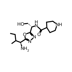 CCC(C)[C@H](N)c1nnc([C@H](CO)NC(=O)C2CCNCC2)o1